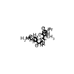 CC1=C(c2cn3cnc(C(=O)c4ccc[n+](CC(N)=O)c4)c3s2)[C@H](C)[C@@H]2[C@@H](C(C)C)C(=O)N12